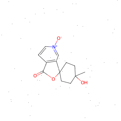 CC1(O)CCC2(CC1)OC(=O)c1cc[n+]([O-])cc12